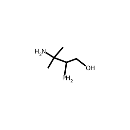 CC(C)(N)C(P)CO